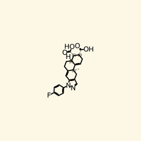 C[C@]12Cc3cnn(-c4ccc(F)cc4)c3C=C1CC[C@H]1C2=CC[C@@H](C(=O)O)[C@H]1C(=O)O